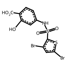 O=C(O)c1ccc(NS(=O)(=O)c2sc(Br)cc2Br)cc1O